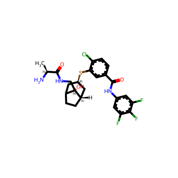 C[C@H](N)C(=O)NC[C@@]1(O)C2CC[C@H]1C[C@H](Sc1cc(C(=O)Nc3cc(F)c(F)c(F)c3)ccc1Cl)C2